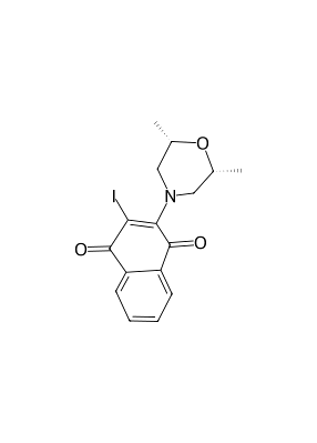 C[C@@H]1CN(C2=C(I)C(=O)c3ccccc3C2=O)C[C@H](C)O1